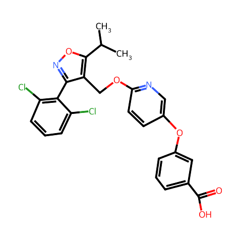 CC(C)c1onc(-c2c(Cl)cccc2Cl)c1COc1ccc(Oc2cccc(C(=O)O)c2)cn1